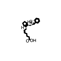 O=C(O)CCC/C=C\C[C@H]1[C@H]2CC[C@H](C2)[C@H]1C[S+]([O-])Cc1ccccc1